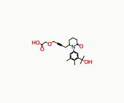 Cc1cc(N2C(=O)CCCC2CC#CCOCC(=O)O)cc(C(C)(C)O)c1C